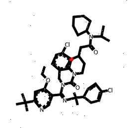 CCOc1cc(C(C)(C)C)ncc1/C(=N/C(C)(C)C1C=CC(Cl)=CC1)N(Cc1ccc(Cl)cc1)C(=O)N1CCC(CC(=O)N(C(C)C)C2CCCCC2)CC1